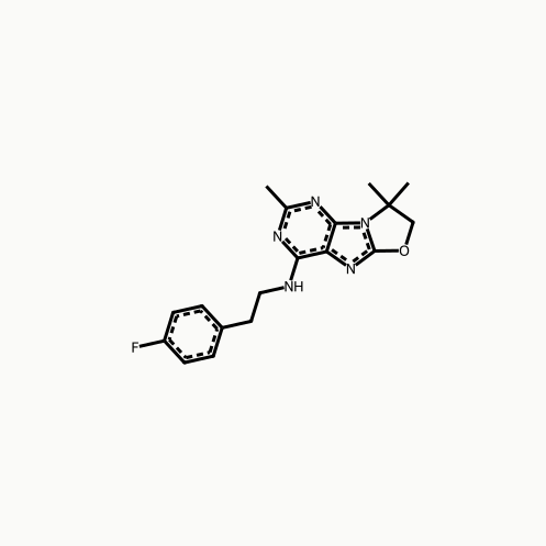 Cc1nc(NCCc2ccc(F)cc2)c2nc3n(c2n1)C(C)(C)CO3